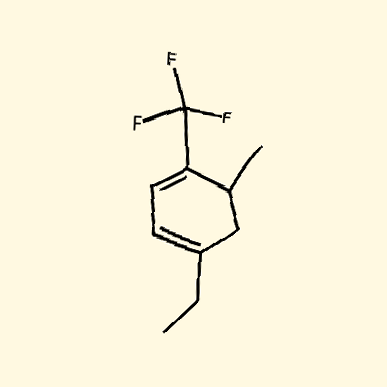 CCC1=CC=C(C(F)(F)F)C(C)C1